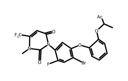 CC(=O)C(C)Oc1ccccc1Oc1cc(-n2c(=O)cc(C(F)(F)F)n(C)c2=O)c(F)cc1Br